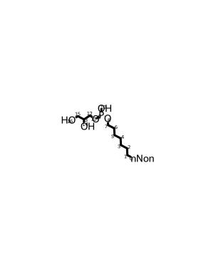 CCCCCCCCCCCCCCCCOP(O)OCC(O)CO